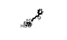 O=C(CCCCOC(=O)C(F)(I)S(=O)O)c1ccncc1